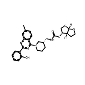 Cc1ccc2c(N3CCC[C@@H](CNC(=O)O[C@H]4CO[C@@H]5OCC[C@@H]54)C3)nc(-c3ccccc3O)nc2c1